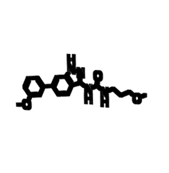 COCCCNC(=O)Nc1n[nH]c2cc(-c3cccc(OC)c3)ccc12